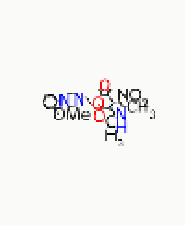 COc1ccccc1N1CCN(CCOC(=O)C2=C(C)NC(C)=C([N+](=O)[O-])C2c2ccoc2)CC1